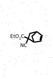 CCOC(=O)C1(C#N)CC2C=CC1C2